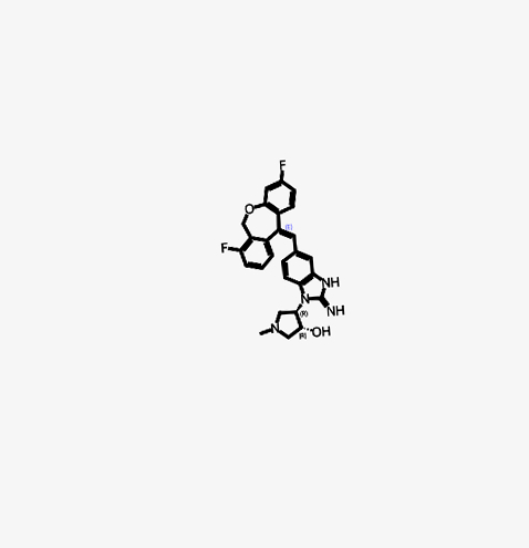 CN1C[C@@H](O)[C@H](n2c(=N)[nH]c3cc(/C=C4/c5ccc(F)cc5OCc5c(F)cccc54)ccc32)C1